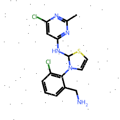 Cc1nc(Cl)cc(NC2SC=CN2c2c(Cl)cccc2CN)n1